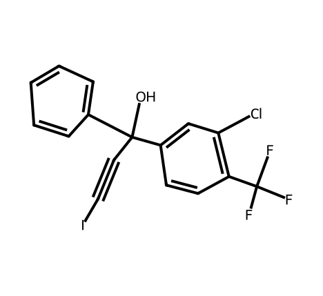 OC(C#CI)(c1ccccc1)c1ccc(C(F)(F)F)c(Cl)c1